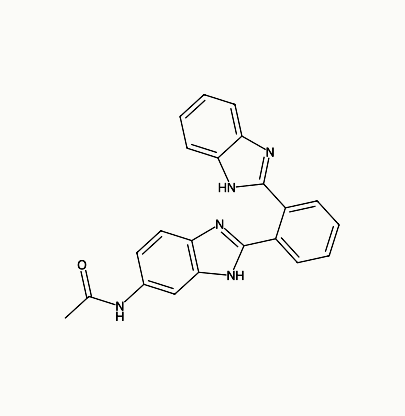 CC(=O)Nc1ccc2nc(-c3ccccc3-c3nc4ccccc4[nH]3)[nH]c2c1